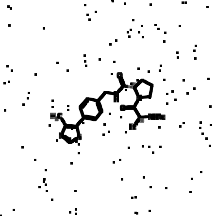 CC[C@H](NC(C)=O)C(=O)N1CCC[C@H]1C(=O)NCc1ccc(-c2scnc2C)cc1